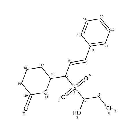 CCC(O)S(=O)(=O)C(C=Cc1ccccc1)C1CCCC(=O)O1